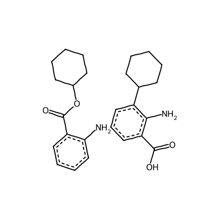 Nc1c(C(=O)O)cccc1C1CCCCC1.Nc1ccccc1C(=O)OC1CCCCC1